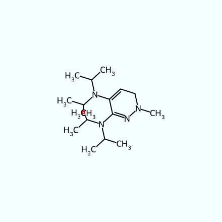 CC(C)N(C1=CCN(C)N=C1N(C(C)C)C(C)C)C(C)C